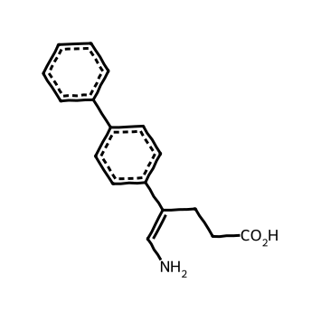 NC=C(CCC(=O)O)c1ccc(-c2ccccc2)cc1